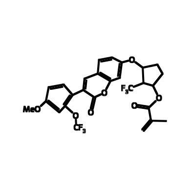 C=C(C)C(=O)OC1CCC(Oc2ccc3cc(-c4ccc(OC)cc4OC(F)(F)F)c(=O)oc3c2)C1C(F)(F)F